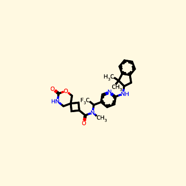 CN(C(=O)C1CC2(CNC(=O)OC2)C1)C(c1ccc(NC2Cc3ccccc3C2(C)C)nc1)C(F)(F)F